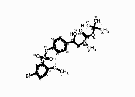 COc1ccc(Br)cc1S(=O)(=O)Oc1ccc(C(O)CN(C)C(=O)OC(C)(C)C)cc1